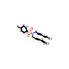 CCC#CC#CCN(CC#CC#CCC)S(=O)(=O)c1ccc(C)cc1